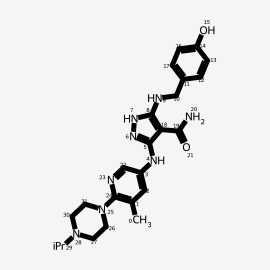 Cc1cc(Nc2n[nH]c(NCc3ccc(O)cc3)c2C(N)=O)cnc1N1CCN(C(C)C)CC1